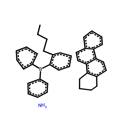 CCCCc1ccccc1B(c1ccccc1)c1ccccc1.N.c1ccc2c(c1)ccc1c3c(ccc12)CCCC3